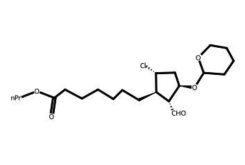 CCCOC(=O)CCCCCC[C@@H]1[C@@H](C=O)[C@H](OC2CCCCO2)C[C@H]1Cl